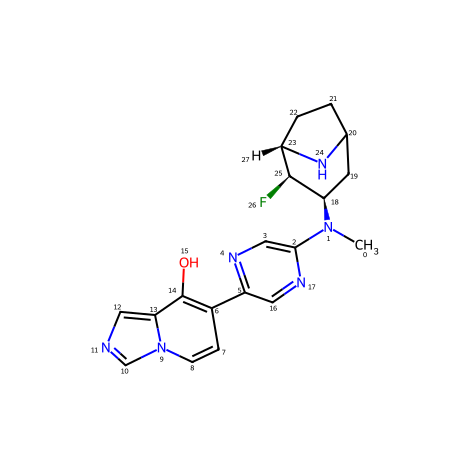 CN(c1cnc(-c2ccn3cncc3c2O)cn1)[C@@H]1CC2CC[C@H](N2)[C@@H]1F